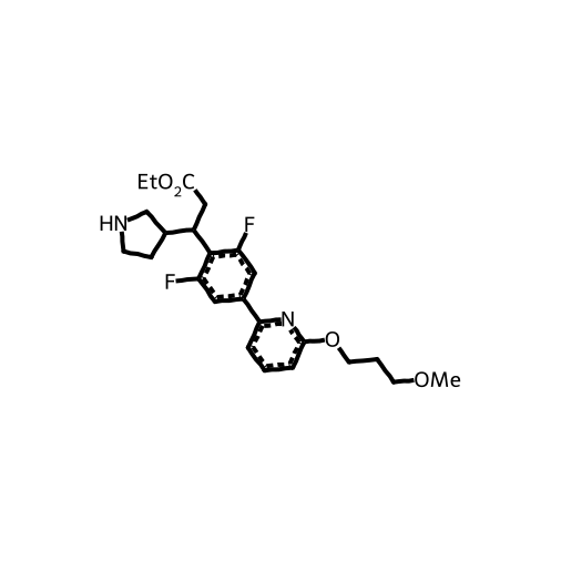 CCOC(=O)CC(c1c(F)cc(-c2cccc(OCCCOC)n2)cc1F)C1CCNC1